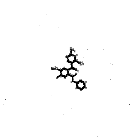 COc1cc(C(=O)c2cnc(N)nc2N)c(C(C)Cc2ccccc2)cc1C